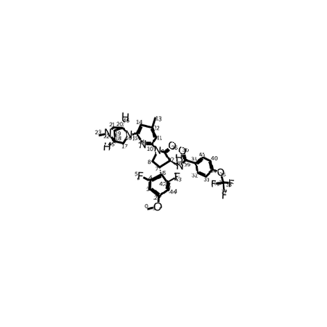 COc1cc(F)c([C@@H]2CN(c3cc(C)cc(N4C[C@@H]5C[C@H]4CN5C)n3)C(=O)[C@H]2NC(=O)c2ccc(OC(F)(F)F)cc2)c(F)c1